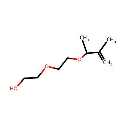 C=C(C)C(C)OCCOCCO